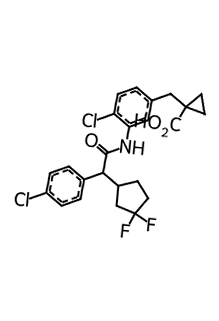 O=C(Nc1cc(CC2(C(=O)O)CC2)ccc1Cl)C(c1ccc(Cl)cc1)C1CCC(F)(F)C1